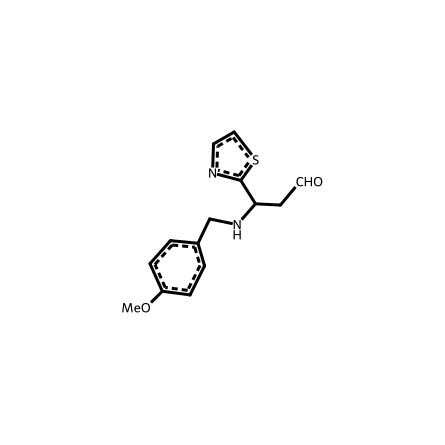 COc1ccc(CNC(CC=O)c2nccs2)cc1